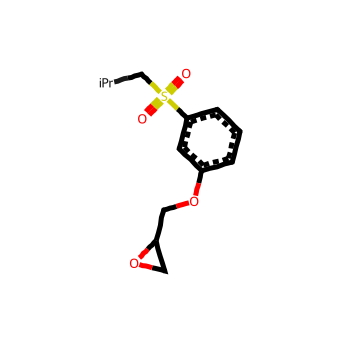 CC(C)CS(=O)(=O)c1cccc(OCC2CO2)c1